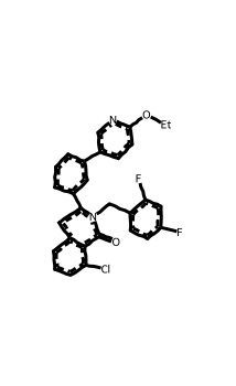 CCOc1ccc(-c2cccc(-c3cc4cccc(Cl)c4c(=O)n3Cc3ccc(F)cc3F)c2)cn1